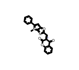 Cn1c(-c2ccccc2)cc2oc(/C=C3\C(=O)Oc4ccccc4C3=O)nc21